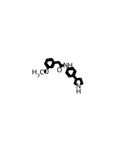 COc1cccc(CC(=O)Nc2ccc(C3CCNC3)cc2)c1